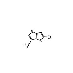 CCc1cc2scc(C)c2s1